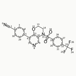 N#Cc1ccc(-c2cncc3c2OCCN3S(=O)(=O)c2ccc(C(F)(F)F)cc2)cc1